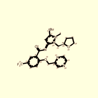 Cn1c(C(C)(C)C)cc(=NC(=O)c2cc(C(F)(F)F)ccc2OCc2cnccn2)n1C[C@H]1CCCO1